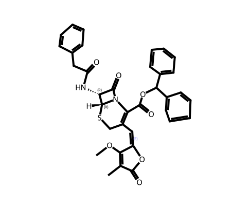 COC1=C(C)C(=O)O/C1=C/C1=C(C(=O)OC(c2ccccc2)c2ccccc2)N2C(=O)[C@@H](NC(=O)Cc3ccccc3)[C@H]2SC1